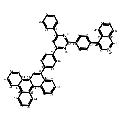 c1ccc(-c2cc(-c3ccc(-c4cc5c6ccccc6c6ccccc6c5c5ccccc45)cc3)nc(-c3ccc(-c4cncc5ccccc45)cc3)n2)cc1